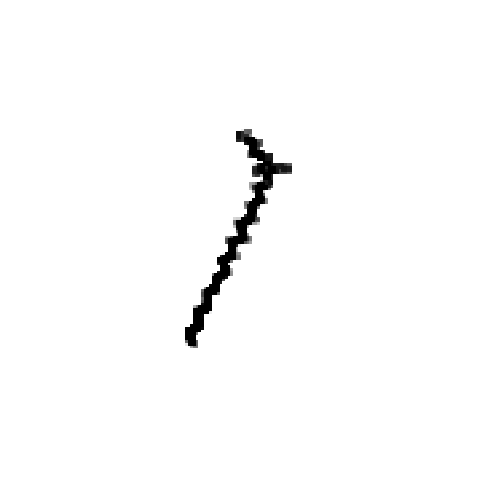 CCCCCCCCCCCCCCCCCCOP(=O)(O)OCCBr